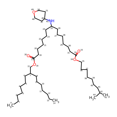 CCCCCCCC(CCCCCCC)COC(=O)CCCCCCC(CCCCCCC(=O)OCCCCCCCC(C)C)NC1CCOCC1